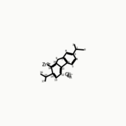 CC(C)c1ccc2c(c1)Cc1c-2ccc(C(C)C)[c]1[Zr+2].[Cl-].[Cl-]